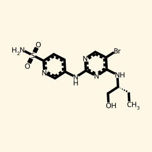 CC[C@H](CO)Nc1nc(Nc2ccc(S(N)(=O)=O)nc2)ncc1Br